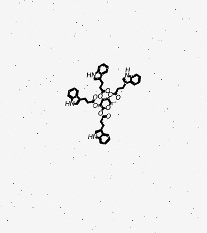 C[C@@H]1OC(OC(=O)CCc2c[nH]c3ccccc23)[C@H](OC(=O)CCc2c[nH]c3ccccc23)[C@H](OC(=O)CCc2c[nH]c3ccccc23)[C@H]1OC(=O)CCc1c[nH]c2ccccc12